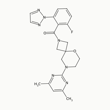 Cc1cc(C)nc(N2CCOC3(CN(C(=O)c4c(F)cccc4-n4nccn4)C3)C2)n1